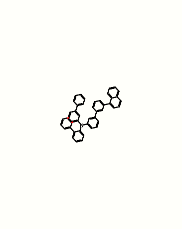 c1ccc(-c2cccc(N(c3cccc(-c4cccc(-c5cccc6ccccc56)c4)c3)c3ccccc3-c3ccccc3)c2)cc1